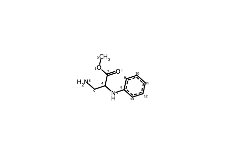 COC(=O)C(CN)Nc1ccccc1